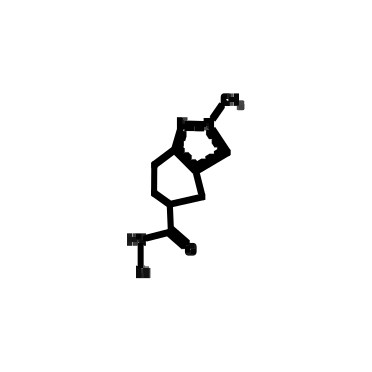 CCNC(=O)C1CCc2nn(C)cc2C1